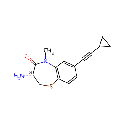 CN1C(=O)[C@@H](N)CSc2ccc(C#CC3CC3)cc21